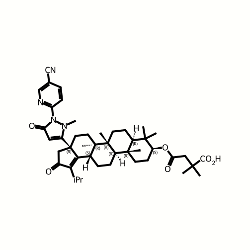 CC(C)C1=C2[C@H]3CC[C@@H]4[C@@]5(C)CC[C@H](OC(=O)CC(C)(C)C(=O)O)C(C)(C)[C@@H]5CC[C@@]4(C)[C@]3(C)CC[C@@]2(c2cc(=O)n(-c3ccc(C#N)cn3)n2C)CC1=O